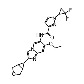 CCOc1cc2nc(C3C4COCC43)cn2cc1NC(=O)c1ccn(C2CC2(F)F)n1